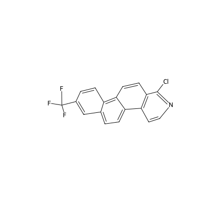 FC(F)(F)c1ccc2c(ccc3c4ccnc(Cl)c4ccc23)c1